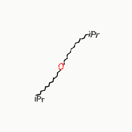 CC(C)CCCCCCCCCCCCOCCCCCCCCCCCCC(C)C